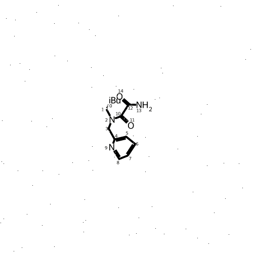 CC[C@@H](C)CN(Cc1ccccn1)C(=O)C(N)=O